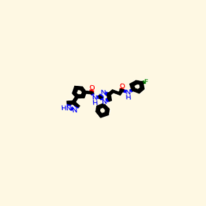 O=C(CCc1cn(-c2ccccc2)c(NC(=O)c2cccc(-c3cn[nH]c3)c2)n1)Nc1ccc(F)cc1